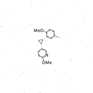 COc1ccc([C@@H]2C[C@@H]2c2cc(C)ccc2OC)cn1